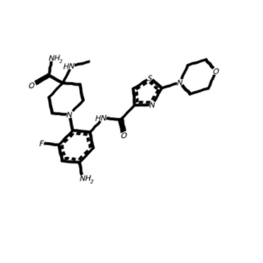 CNC1(C(N)=O)CCN(c2c(F)cc(N)cc2NC(=O)c2csc(N3CCOCC3)n2)CC1